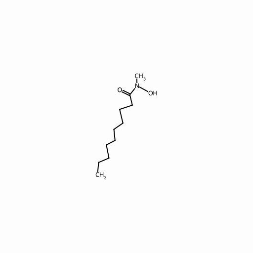 CCCCCCCCCC(=O)N(C)O